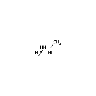 CCNP.I